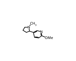 COc1ccc(C2CCCN2C)cn1